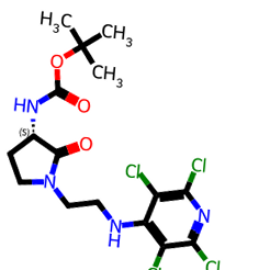 CC(C)(C)OC(=O)N[C@H]1CCN(CCNc2c(Cl)c(Cl)nc(Cl)c2Cl)C1=O